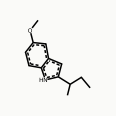 CCC(C)c1cc2cc(OC)ccc2[nH]1